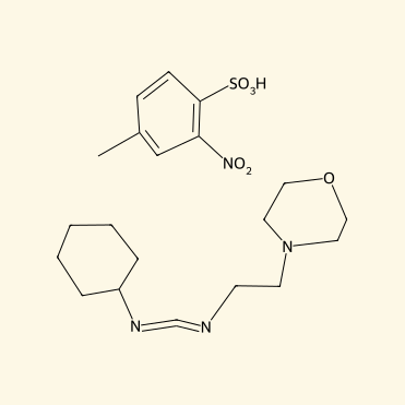 C(=NCCN1CCOCC1)=NC1CCCCC1.Cc1ccc(S(=O)(=O)O)c([N+](=O)[O-])c1